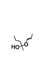 CC=COC(C)(O)CCC